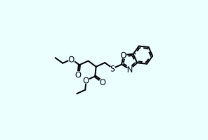 CCOC(=O)CC(CSc1nc2ccccc2o1)C(=O)OCC